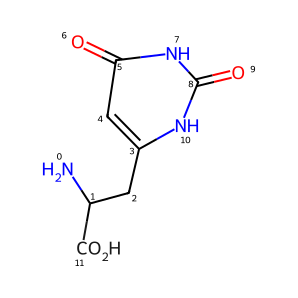 NC(Cc1cc(=O)[nH]c(=O)[nH]1)C(=O)O